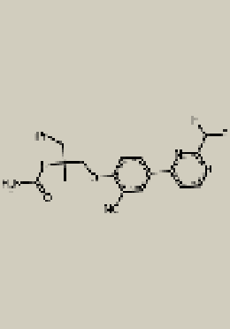 CC(C)CC(C)(COc1ccc(-c2ccnc(C(F)F)n2)cc1C#N)OC(N)=O